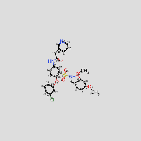 COc1ccc(CNS(=O)(=O)c2cc(NC(=O)Cc3cccnc3)ccc2Oc2cccc(Cl)c2)c(OC)c1